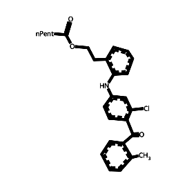 CCCCCC(=O)OCCc1ccccc1Nc1ccc(C(=O)c2ccccc2C)c(Cl)c1